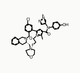 Cc1c(C(=O)N(c2ccc(O)cc2)c2cnn(C)c2)cc(-c2cc(Cl)ccc2C(=O)N2Cc3ccccc3C[C@H]2CN2CCOCC2)n1CCF